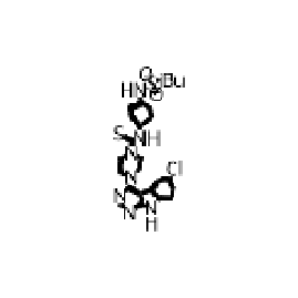 CCC(C)S(=O)(=O)Nc1ccc(NC(=S)N2CCN(c3ncnc4[nH]c5ccc(Cl)cc5c34)CC2)cc1